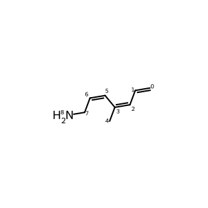 C=C/C=C(C)\C=C/CN